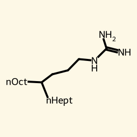 CCCCCCCCC(CCCCCCC)CCCNC(=N)N